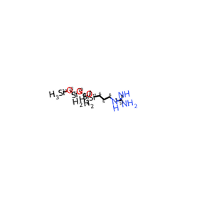 N=C(N)NCCC[SiH2]O[SiH2]O[SiH2]O[SiH3]